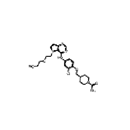 O=C(O)N1CCC(COc2ccc(Nc3ncnc4ccn(CCOCCO)c34)cc2Cl)CC1